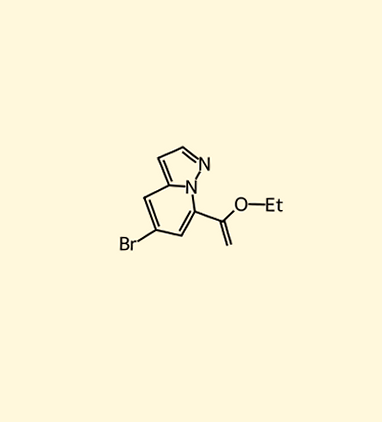 C=C(OCC)c1cc(Br)cc2ccnn12